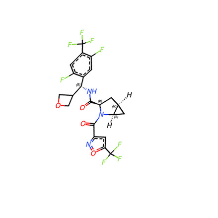 O=C(N[C@@H](c1cc(F)c(C(F)(F)F)cc1F)C1COC1)[C@H]1C[C@H]2C[C@H]2N1C(=O)c1cc(C(F)(F)F)on1